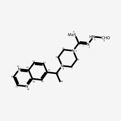 CS/C(=N\NC=O)N1CCN(C(C)c2ccc3nccnc3c2)CC1